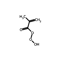 C=C(C)C(=O)OOO